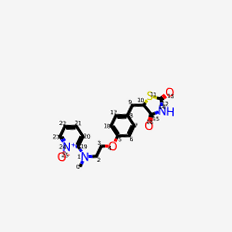 CN(CCOc1ccc(CC2SC(=O)NC2=O)cc1)c1cccc[n+]1[O-]